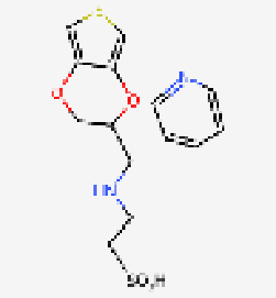 O=S(=O)(O)CCNCC1COc2cscc2O1.c1ccncc1